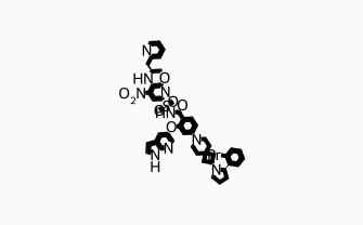 CC(C)c1ccccc1[C@@H]1CCCN1C1CC2(CCN(c3ccc(C(=O)NS(=O)(=O)c4cc([N+](=O)[O-])c5c(n4)OC[C@H](Cc4ccccn4)N5)c(Oc4cnc5[nH]ccc5c4)c3)CC2)C1